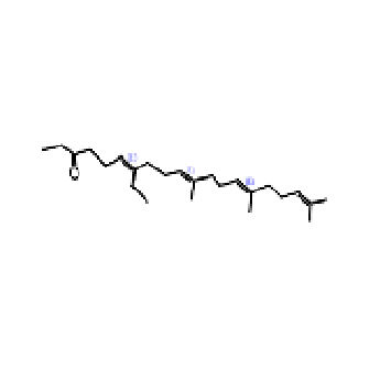 CCC(=O)CC/C=C(\CC)CC/C=C(\C)CC/C=C(\C)CCC=C(C)C